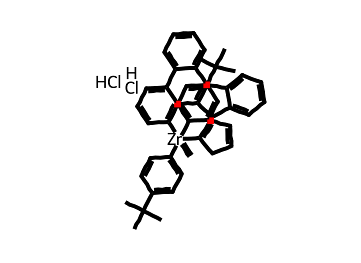 Cl.Cl.[CH2]=[Zr]([C]1=CC=CC1)([c]1ccc(C(C)(C)C)cc1)([c]1ccc(C(C)(C)C)cc1)[c]1cccc2c1c1c(c3ccccc32)-c2ccccc2C1